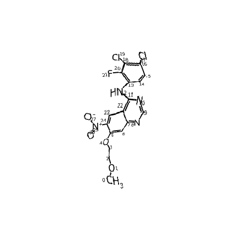 COCCOc1cc2ncnc(Nc3ccc(Cl)c(Cl)c3F)c2cc1[N+](=O)[O-]